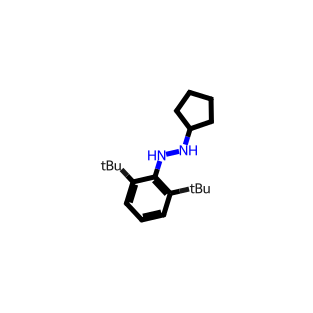 CC(C)(C)c1cccc(C(C)(C)C)c1NNC1CCCC1